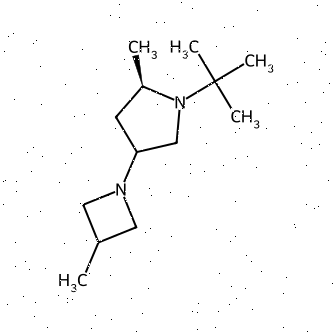 CC1CN(C2C[C@@H](C)N(C(C)(C)C)C2)C1